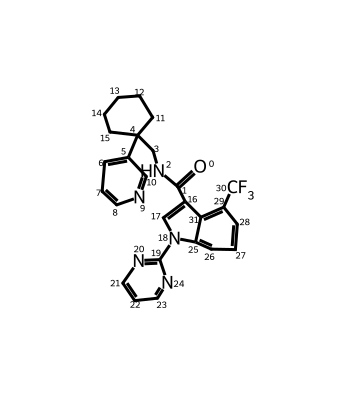 O=C(NCC1(c2cccnc2)CCCCC1)c1cn(-c2ncccn2)c2cccc(C(F)(F)F)c12